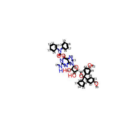 CNc1nc(OC(=O)N(c2ccccc2)c2ccccc2)c2ncn([C@@H]3O[C@H](COC(c4ccccc4)(c4ccc(OC)cc4)c4ccc(OC)cc4)[C@@H](O)[C@H]3O)c2n1